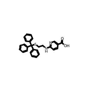 O=C(O)c1ccc(NCCSC(c2ccccc2)(c2ccccc2)c2ccccc2)nc1